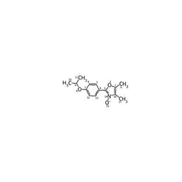 Cc1oc(-c2ccc(OC(C)C)cc2)[n+]([O-])c1C